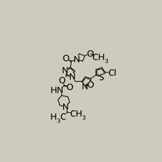 COC1CN(C(=O)c2cn(Cc3cc(-c4ccc(Cl)s4)on3)c(OC(=O)NC3CCN(C(C)C)CC3)n2)C1